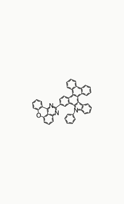 c1ccc(-n2c3ccccc3c3c4c5ccccc5c5ccccc5c4c4ccc(-c5nc6c7c(cccc7n5)Oc5ccccc5-6)cc4c32)cc1